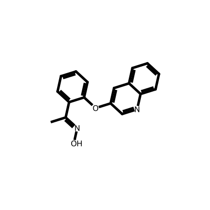 CC(=NO)c1ccccc1Oc1cnc2ccccc2c1